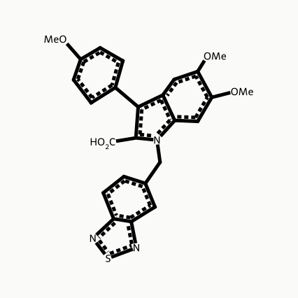 COc1ccc(-c2c(C(=O)O)n(Cc3ccc4nsnc4c3)c3cc(OC)c(OC)cc23)cc1